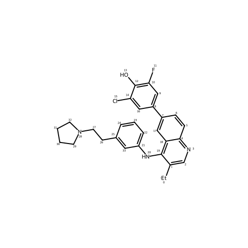 [CH2][CH]c1cnc2ccc(-c3cc(F)c(O)c(Cl)c3)cc2c1Nc1cccc(CCN2CCCC2)c1